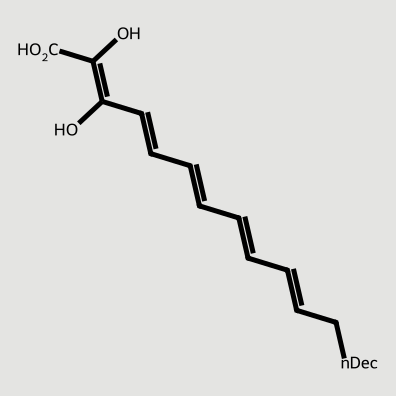 CCCCCCCCCCC/C=C/C=C/C=C/C=C/C(O)=C(\O)C(=O)O